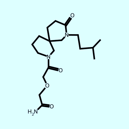 CC(C)CCN1CC2(CCCN(C(=O)COCC(N)=O)C2)CCC1=O